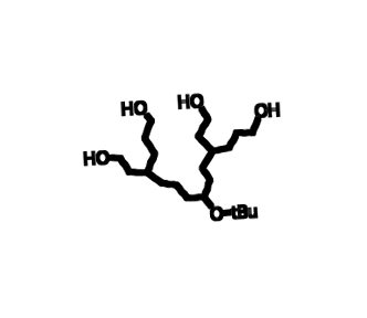 CC(C)(C)OC(CCCC(CCO)CCCO)CCC(CCO)CCCO